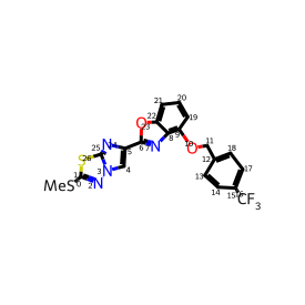 CSc1nn2cc(-c3nc4c(OCc5ccc(C(F)(F)F)cc5)cccc4o3)nc2s1